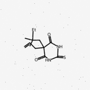 C=CCC1(CC(C)(C)CC)C(=O)NC(=S)NC1=O